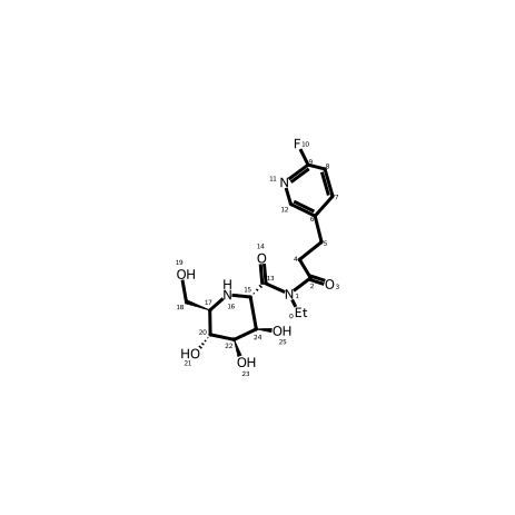 CCN(C(=O)CCc1ccc(F)nc1)C(=O)[C@H]1N[C@H](CO)[C@@H](O)[C@H](O)[C@@H]1O